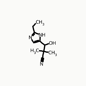 CCc1ncc(C(O)C(C)(C)C#N)[nH]1